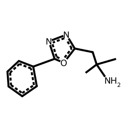 CC(C)(N)Cc1nnc(-c2ccccc2)o1